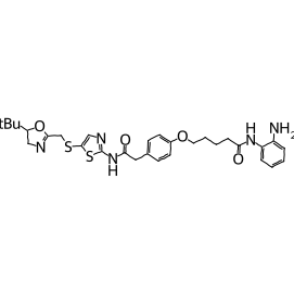 CC(C)(C)C1CN=C(CSc2cnc(NC(=O)Cc3ccc(OCCCCC(=O)Nc4ccccc4N)cc3)s2)O1